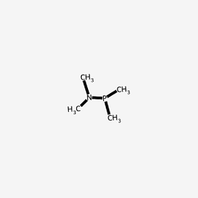 CN(C)P(C)C